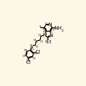 CCc1nc2c(N)ncc(C)c2n1CCCCSc1ccc(Cl)cc1Cl